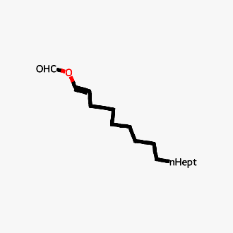 CCCCCCCCCCCCCCC=COC=O